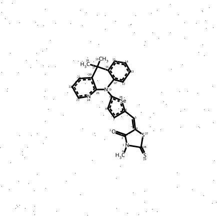 CN1C(=O)/C(=C\c2ccc(N3c4ccccc4C(C)(C)c4cccnc43)[se]2)SC1=S